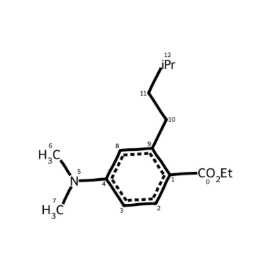 CCOC(=O)c1ccc(N(C)C)cc1CCC(C)C